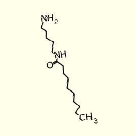 CCCCCCCCCC(=O)NCCCCCN